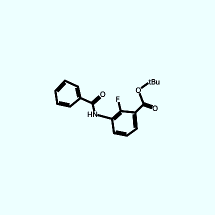 CC(C)(C)OC(=O)c1cccc(NC(=O)c2ccccc2)c1F